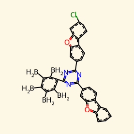 Bc1c(B)c(B)c(-c2nc(-c3ccc4c(c3)oc3ccccc34)nc(-c3ccc4c(c3)oc3cc(Cl)ccc34)n2)c(B)c1B